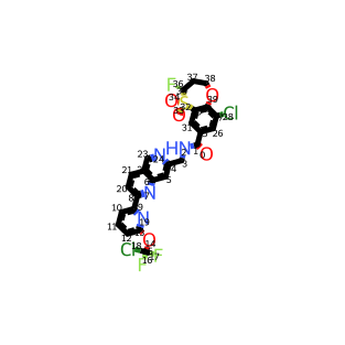 O=C(NCc1cc2nc(-c3cccc(OC(F)(F)Cl)n3)ccc2cn1)c1cc(Cl)c2c(c1)S(=O)(=O)[C@@H](F)CCO2